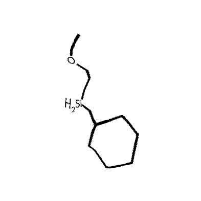 COC[SiH2]C1CCCCC1